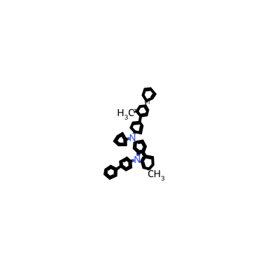 CC1C=c2c(c3ccc(N(c4ccccc4)C4C=CC(C5=CC=C([C@H]6C=CC=CC6)C[C@H]5C)=CC4)cc3n2-c2ccc(-c3ccccc3)cc2)=CC1